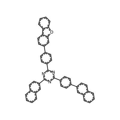 c1ccc2cc(-c3ccc(-c4nc(-c5ccc(-c6ccc7c(c6)oc6ccccc67)cc5)nc(-c5ccc6ccccc6c5)n4)cc3)ccc2c1